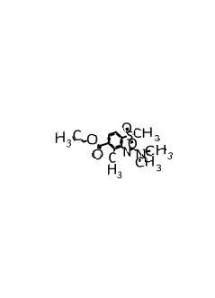 CCOC(=O)c1ccc(S(C)(=O)=O)c(/N=C/N(C)C)c1C